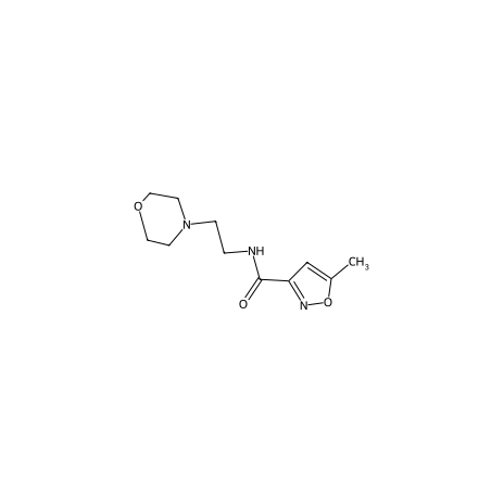 Cc1cc(C(=O)NCCN2CCOCC2)no1